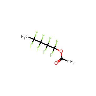 O=C(OC(F)(F)C(F)(F)C(F)(F)C(F)(F)C(F)(F)F)C(F)(F)F